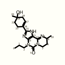 CCCN1C(=O)N2CCC(C)N=C2c2[nH]c(C3=CCC(C)(O)CC3)nc21